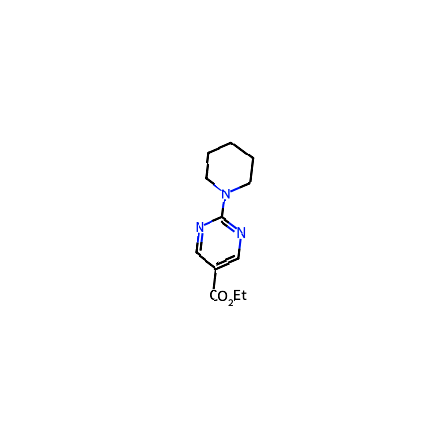 CCOC(=O)c1cnc(N2CCCCC2)nc1